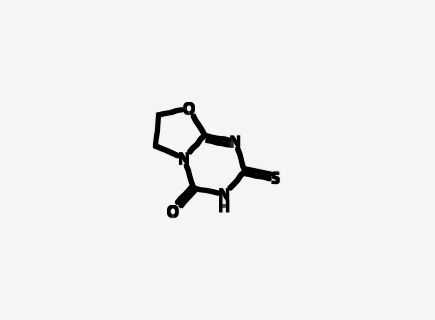 O=c1[nH]c(=S)nc2n1CCO2